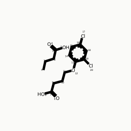 CCCC(=O)O.O=C(O)CCCOc1ccc(Cl)cc1Cl